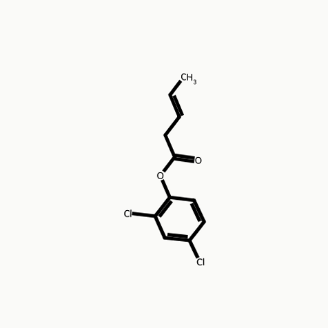 CC=CCC(=O)Oc1ccc(Cl)cc1Cl